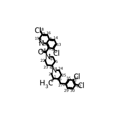 CC1CN(C2CCN(C(=O)c3c(Cl)ccc4cc(Cl)cnc34)CC2)CCC1Cc1ccc(Cl)c(Cl)c1